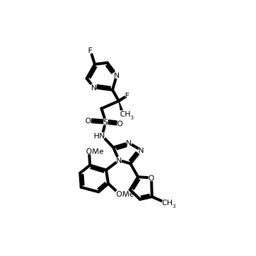 COc1cccc(OC)c1-n1c(NS(=O)(=O)C[C@@](C)(F)c2ncc(F)cn2)nnc1-c1ccc(C)o1